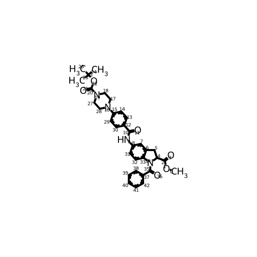 COC(=O)C1Cc2cc(NC(=O)c3ccc(N4CCN(C(=O)OC(C)(C)C)CC4)cc3)ccc2N1C(=O)c1ccccc1